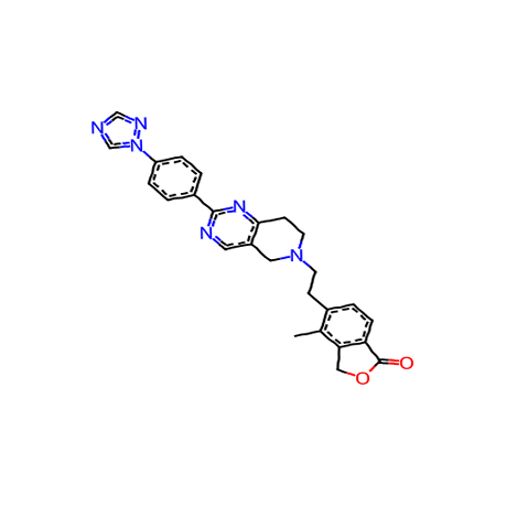 Cc1c(CCN2CCc3nc(-c4ccc(-n5cncn5)cc4)ncc3C2)ccc2c1COC2=O